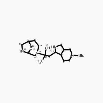 CC(C)(C)N1CCC2C(CNC2CC(C)(C)N2CCC3CNC(CO3)C2)C1